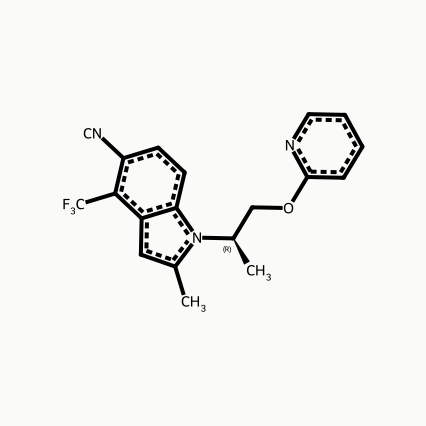 [C-]#[N+]c1ccc2c(cc(C)n2[C@H](C)COc2ccccn2)c1C(F)(F)F